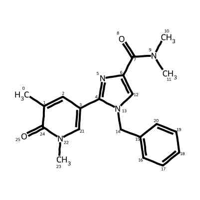 Cc1cc(-c2nc(C(=O)N(C)C)cn2Cc2ccccc2)cn(C)c1=O